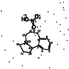 O=[N+]([O-])O.c1ccc2c(c1)CCCN1CCCC21